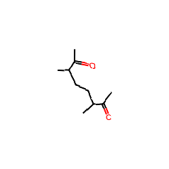 CC(=O)C(C)CCC(C)C(C)=O